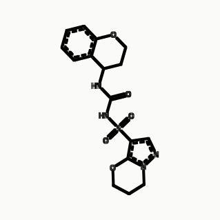 O=C(NC1CCOc2ccccc21)NS(=O)(=O)c1cnn2c1OCCC2